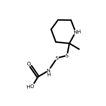 CC1(SSNC(=O)O)CCCCN1